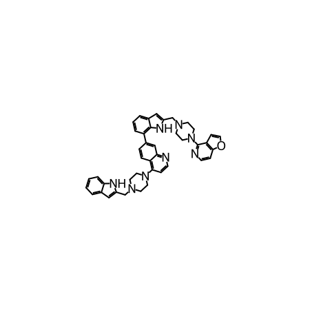 c1ccc2[nH]c(CN3CCN(c4ccnc5cc(-c6cccc7cc(CN8CCN(c9nccc%10occc9%10)CC8)[nH]c67)ccc45)CC3)cc2c1